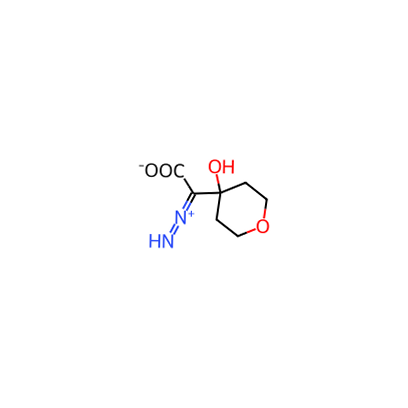 N=[N+]=C(C(=O)[O-])C1(O)CCOCC1